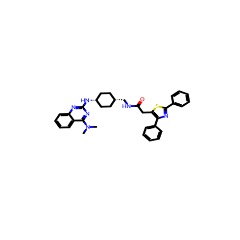 CN(C)c1nc(N[C@H]2CC[C@@H](CNC(=O)Cc3sc(-c4ccccc4)nc3-c3ccccc3)CC2)nc2ccccc12